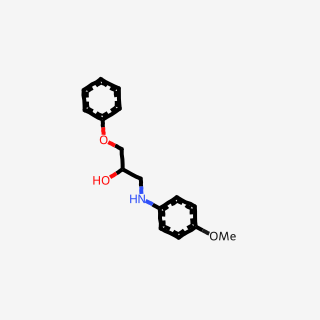 COc1ccc(NCC(O)COc2ccccc2)cc1